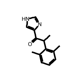 Cc1cccc(C)c1C(C)C(=O)c1c[nH]cn1